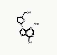 OC[C@@H]1CC[C@H](n2cnc3c(O)ncnc32)O1.[NaH]